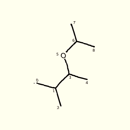 [CH2]C(C)C(C)OC(C)C